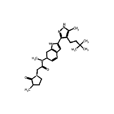 Cc1[nH]nc(-c2cc3c([nH]2)CC(N(C)C(=O)CN2CCC(C)C2=O)C=C3)c1CCC(C)(C)C